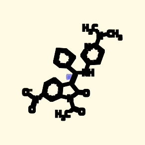 CC(=O)N1C(=O)/C(=C(\Nc2ccc(N(C)C)nc2)c2ccccc2)c2ccc([N+](=O)[O-])cc21